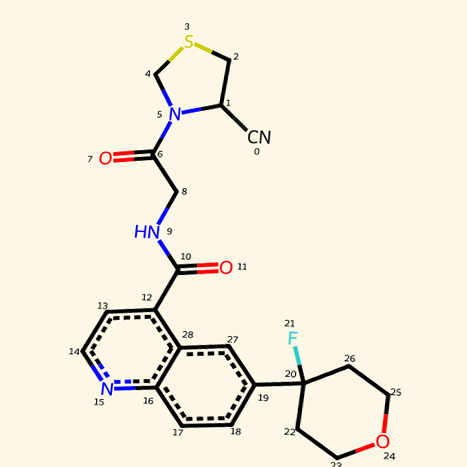 N#CC1CSCN1C(=O)CNC(=O)c1ccnc2ccc(C3(F)CCOCC3)cc12